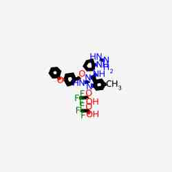 Cc1ccc2nc(NC(=O)c3ccc(Oc4ccccc4)cc3)nc(NC3CCCCC3NC(=N)N)c2c1.O=C(O)C(F)(F)F.O=C(O)C(F)(F)F